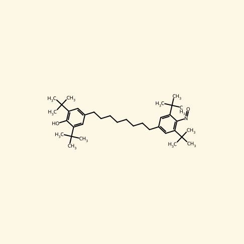 CC(C)(C)c1cc(CCCCCCCCc2cc(C(C)(C)C)c(N=O)c(C(C)(C)C)c2)cc(C(C)(C)C)c1O